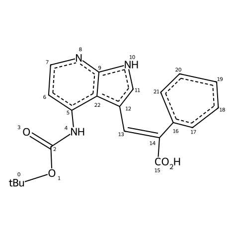 CC(C)(C)OC(=O)Nc1ccnc2[nH]cc(/C=C(/C(=O)O)c3ccccc3)c12